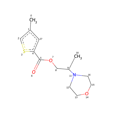 Cc1csc(C(=O)OCC(C)N2CCOCC2)c1